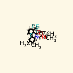 Cc1ccc(N(CC(=O)OC(C)(C)C)C(=O)c2c(F)cccc2C(F)(F)F)cc1C